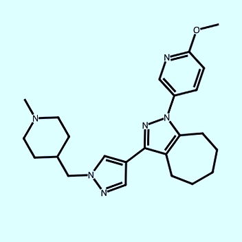 COc1ccc(-n2nc(-c3cnn(CC4CCN(C)CC4)c3)c3c2CCCCC3)cn1